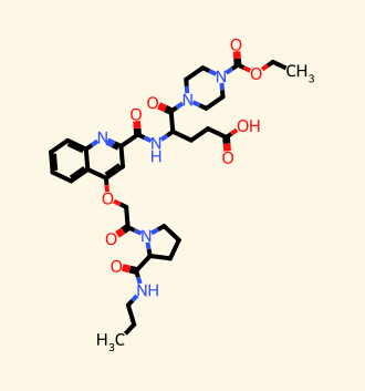 CCCNC(=O)C1CCCN1C(=O)COc1cc(C(=O)NC(CCC(=O)O)C(=O)N2CCN(C(=O)OCC)CC2)nc2ccccc12